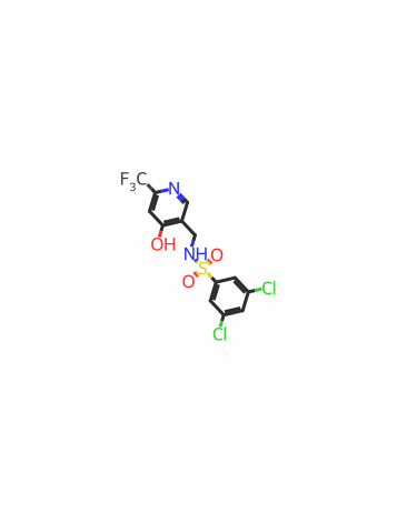 O=S(=O)(NCc1cnc(C(F)(F)F)cc1O)c1cc(Cl)cc(Cl)c1